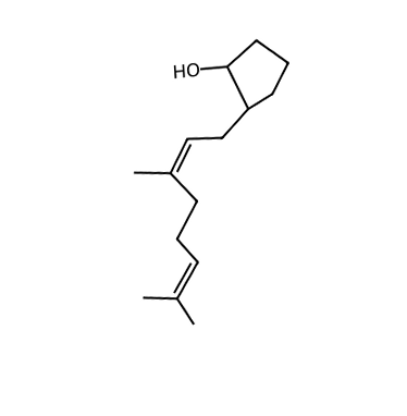 CC(C)=CCCC(C)=CCC1CCCC1O